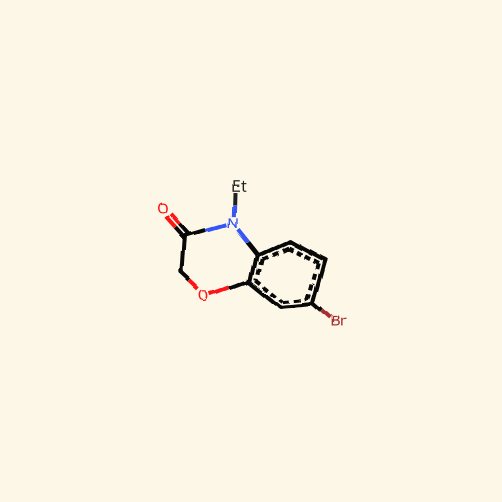 CCN1C(=O)COc2cc(Br)ccc21